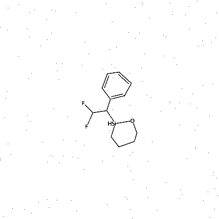 FC(F)C(c1ccccc1)[SiH]1CCCCO1